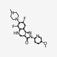 COc1ccc(-n2nc3c4cc(F)c(N5CCN(C)CC5)c(F)c4[nH]cc-3c2=O)nc1